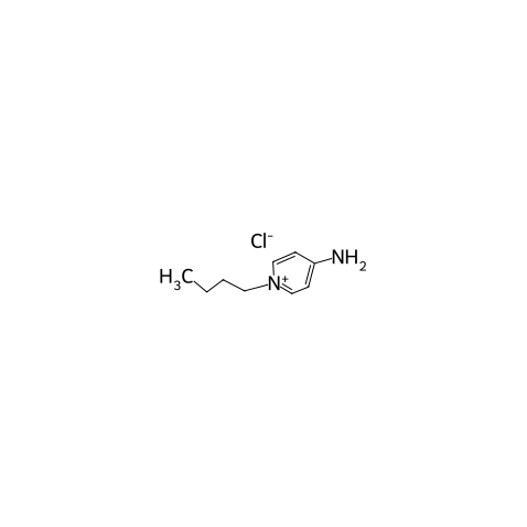 CCCC[n+]1ccc(N)cc1.[Cl-]